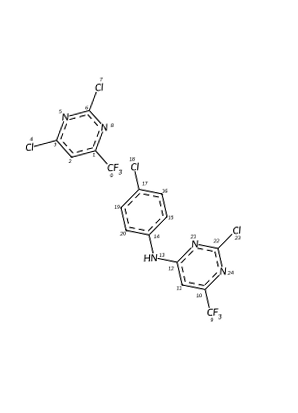 FC(F)(F)c1cc(Cl)nc(Cl)n1.FC(F)(F)c1cc(Nc2ccc(Cl)cc2)nc(Cl)n1